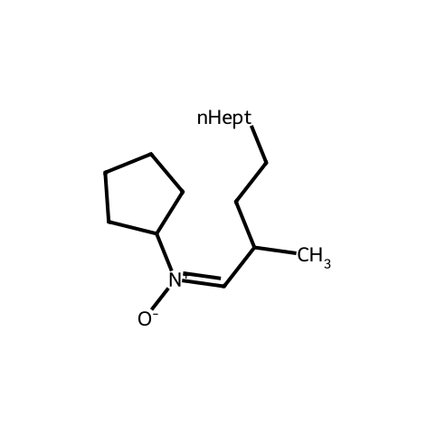 CCCCCCCCCC(C)/C=[N+](/[O-])C1CCCC1